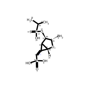 B[C@@H]1O[C@@H]2/C(=C\P(=O)(O)O)C2[C@H]1OP(O)(=S)C(C)C